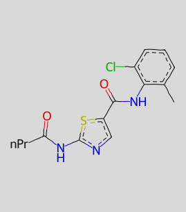 CCCC(=O)Nc1ncc(C(=O)Nc2c(C)cccc2Cl)s1